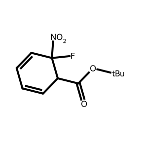 CC(C)(C)OC(=O)C1C=CC=CC1(F)[N+](=O)[O-]